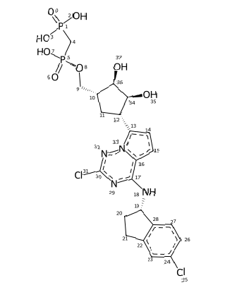 O=P(O)(O)CP(=O)(O)OC[C@H]1C[C@@H](c2ccc3c(N[C@H]4CCc5cc(Cl)ccc54)nc(Cl)nn23)[C@H](O)[C@@H]1O